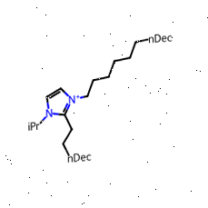 CCCCCCCCCCCCCCCC[n+]1ccn(C(C)C)c1CCCCCCCCCCCC